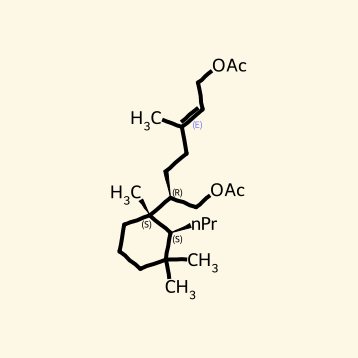 CCC[C@H]1C(C)(C)CCC[C@]1(C)[C@@H](CC/C(C)=C/COC(C)=O)COC(C)=O